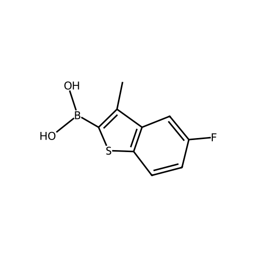 Cc1c(B(O)O)sc2ccc(F)cc12